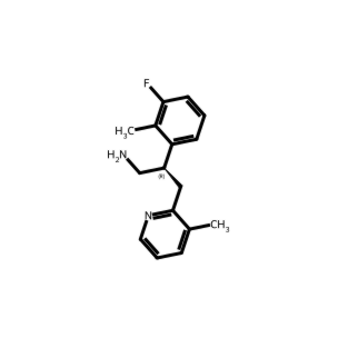 Cc1cccnc1C[C@@H](CN)c1cccc(F)c1C